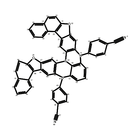 N#Cc1ccc(N2c3cc4oc5ccc6ccccc6c5c4cc3B3c4cc5oc6ccc7ccccc7c6c5cc4N(c4ccc(C#N)cc4)c4cccc2c43)cc1